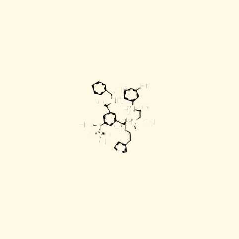 CCc1cccc(NC(=O)[C@H](C)NC[C@H](Cc2ccsc2)NC(=O)c2cc(C(=O)N[C@H](C)c3ccccc3)cc(N(C)S(C)(=O)=O)c2)c1